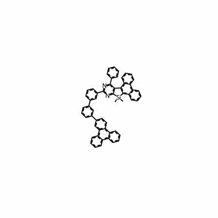 C[Si]1(C)c2nc(-c3cccc(-c4cccc(-c5ccc6c7ccccc7c7ccccc7c6c5)c4)c3)nc(-c3ccccc3)c2-c2c1c1ccccc1c1ccccc21